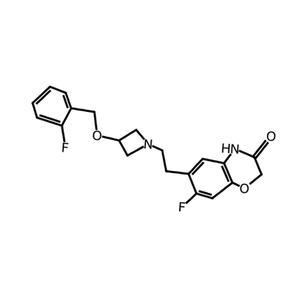 O=C1COc2cc(F)c(CCN3CC(OCc4ccccc4F)C3)cc2N1